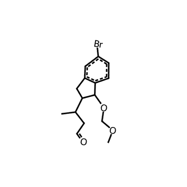 COCOC1c2ccc(Br)cc2CC1C(C)CC=O